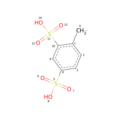 [CH2]c1ccc(S(=O)(=O)O)cc1S(=O)(=O)O